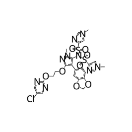 Cn1cnc(S(=O)(=O)N(c2c(-c3ccc4c(c3)OCO4)c(OCCOc3ncc(Cl)cn3)nn2C)S(=O)(=O)c2cn(C)cn2)c1